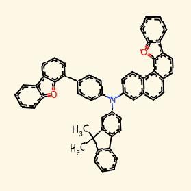 CC1(C)c2ccccc2-c2ccc(N(c3ccc(-c4cccc5c4oc4ccccc45)cc3)c3ccc4c(ccc5ccc6c7ccccc7oc6c54)c3)cc21